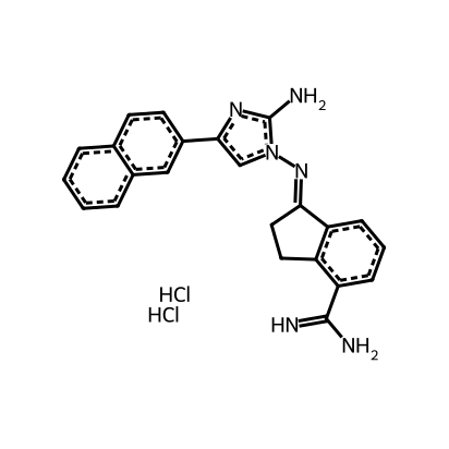 Cl.Cl.N=C(N)c1cccc2c1CCC2=Nn1cc(-c2ccc3ccccc3c2)nc1N